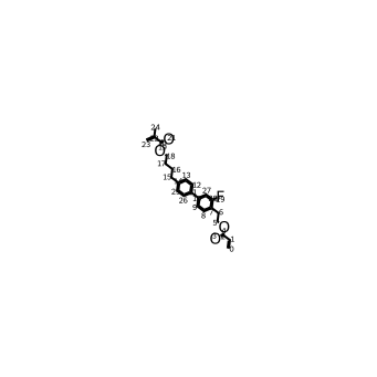 C=CC(=O)OCCc1ccc(-c2ccc(CCCCOC(=O)C(=C)C)cc2)cc1F